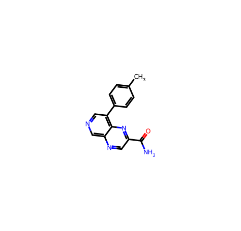 Cc1ccc(-c2cncc3ncc(C(N)=O)nc23)cc1